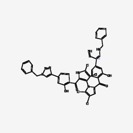 N=N/C(=C\NCc1ccccc1)c1ccc(C(=O)c2cc(Cl)c(Cl)n2-c2c(C(=O)c3ccc(-c4cn(Cc5ccccc5)nn4)cc3O)[nH]c(Cl)c2Cl)c(O)c1